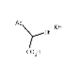 CCC(C(C)=O)C(=O)O.[KH]